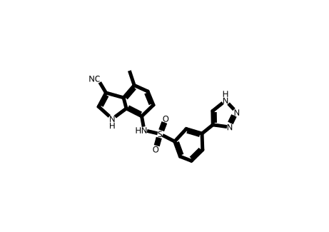 Cc1ccc(NS(=O)(=O)c2cccc(-c3c[nH]nn3)c2)c2[nH]cc(C#N)c12